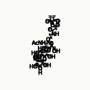 CC(=O)NC1[C@H](OCCNC(=O)CC(=O)ON2C(=O)CCC2=O)OC(CO)[C@@H](O[C@@H]2OC(CO)[C@H](O)[C@H](O[C@H]3OC(CO)[C@H](O)[C@H](O)C3O)C2O)[C@@H]1O